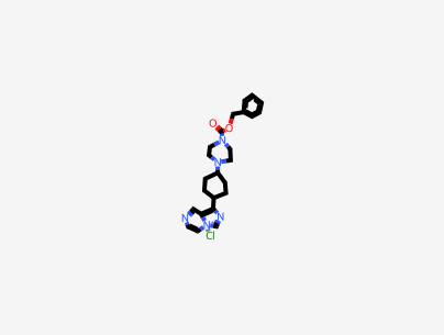 O=C(OCc1ccccc1)N1CCN(C2CCC(C3=C4C=NC=C[N+]4(Cl)C=N3)CC2)CC1